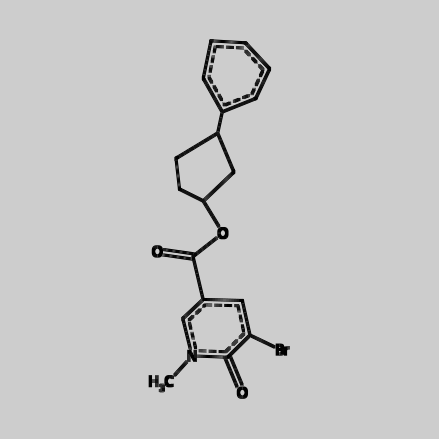 Cn1cc(C(=O)OC2CCC(c3ccccc3)C2)cc(Br)c1=O